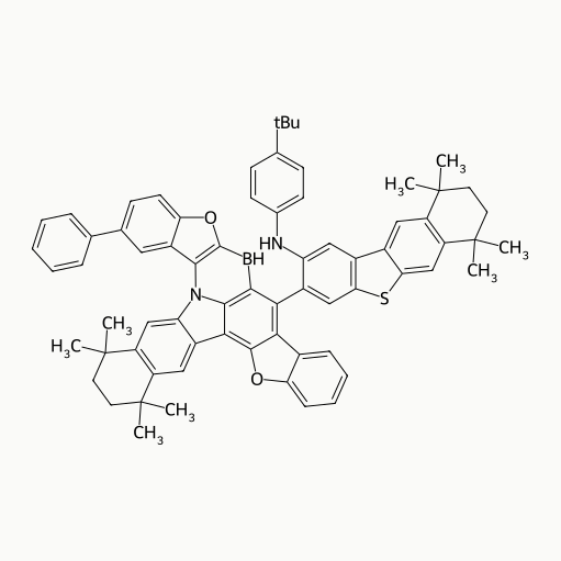 CC(C)(C)c1ccc(Nc2cc3c(cc2-c2c4c5c(c6cc7c(cc6n5-c5c(oc6ccc(-c8ccccc8)cc56)B4)C(C)(C)CCC7(C)C)c4oc5ccccc5c24)sc2cc4c(cc23)C(C)(C)CCC4(C)C)cc1